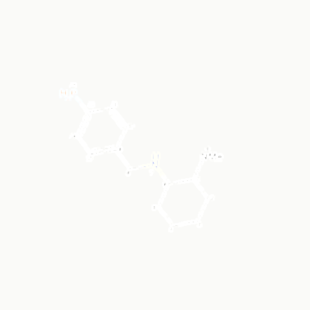 CNC1CCCCC1NCc1ccc(P)cc1